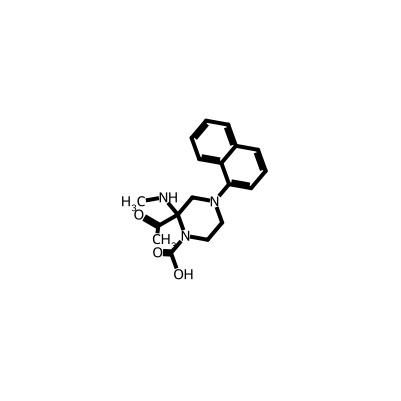 CNC1(C(C)=O)CN(c2cccc3ccccc23)CCN1C(=O)O